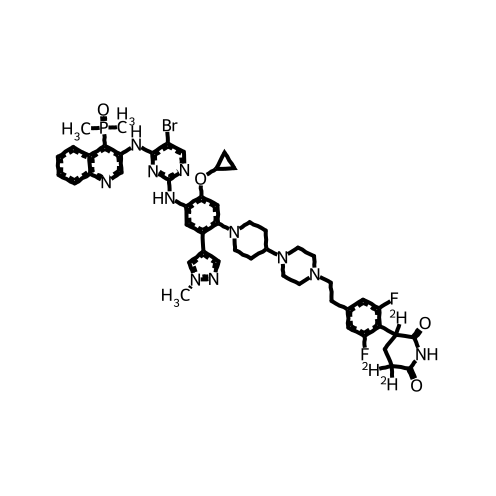 [2H]C1([2H])CC([2H])(c2c(F)cc(CCN3CCN(C4CCN(c5cc(OC6CC6)c(Nc6ncc(Br)c(Nc7cnc8ccccc8c7P(C)(C)=O)n6)cc5-c5cnn(C)c5)CC4)CC3)cc2F)C(=O)NC1=O